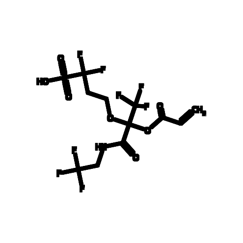 C=CC(=O)OC(OCCC(F)(F)S(=O)(=O)O)(C(=O)NCC(F)(F)F)C(F)(F)F